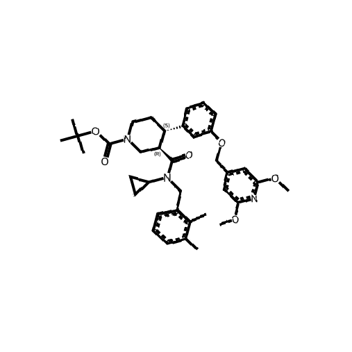 COc1cc(COc2cccc([C@H]3CCN(C(=O)OC(C)(C)C)C[C@@H]3C(=O)N(Cc3cccc(C)c3C)C3CC3)c2)cc(OC)n1